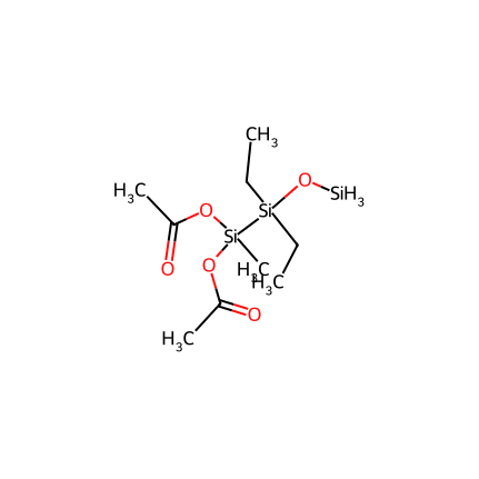 CC[Si](CC)(O[SiH3])[Si](C)(OC(C)=O)OC(C)=O